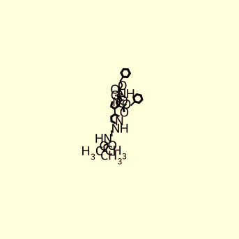 CC(C)(C)OC(=O)NCCNc1ccc(-c2ccn(S(=O)(=O)NC(=O)OCc3ccccc3)c2C(=O)OCc2ccccc2)cn1